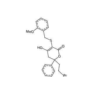 COc1ccccc1CSC1=C(O)CC(CCC(C)C)(c2ccccc2)OC1=O